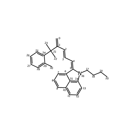 C=C(/C=C/C=c1\c2cccc3cccc(c32)n1CCCC)C(C)(C)c1ccccc1C